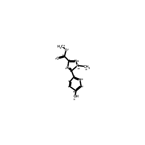 COC(=O)c1nc(-c2ccc(O)cn2)n(C)n1